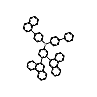 c1ccc(-c2ccc(N(c3ccc(-c4cccc5ccccc45)cc3)c3ccc(-c4cc5ccccc5c5ccccc45)c(-c4cc5ccccc5c5ccccc45)c3)cc2)cc1